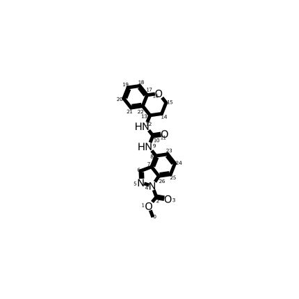 COC(=O)n1ncc2c(NC(=O)NC3CCOc4ccccc43)cccc21